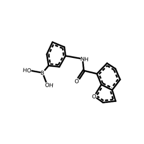 O=C(Nc1cccc(B(O)O)c1)c1cccc2ccoc12